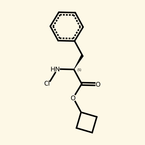 O=C(OC1CCC1)[C@H](Cc1ccccc1)NCl